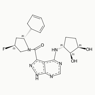 O=C(c1n[nH]c2ncnc(N[C@@H]3CC[C@@H](O)[C@H]3O)c12)N1C[C@@H](F)C[C@@H]1C1C=CC=CC1